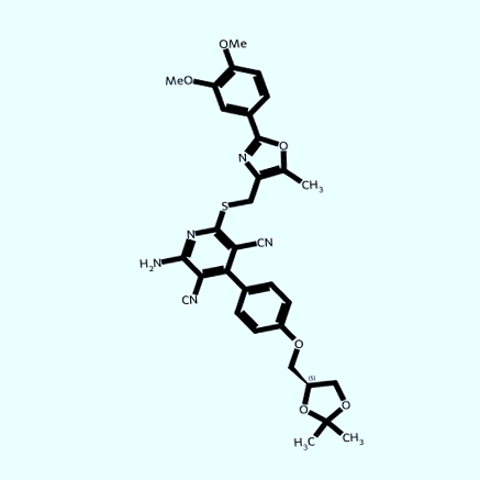 [C-]#[N+]c1c(N)nc(SCc2nc(-c3ccc(OC)c(OC)c3)oc2C)c(C#N)c1-c1ccc(OC[C@H]2COC(C)(C)O2)cc1